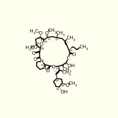 CCC[C@@H]1/C=C(\C)C[C@H](C)C[C@H](OC)[C@H]2O[C@@](O)(C(=O)C(=O)N3CCCC[C@H]3C(=O)O[C@H](/C(C)=C/[C@@H]3CC[C@@H](O)[C@H](OC)C3)[C@H](C)[C@@H](O)CC1=O)[C@H](C)C[C@@H]2OC